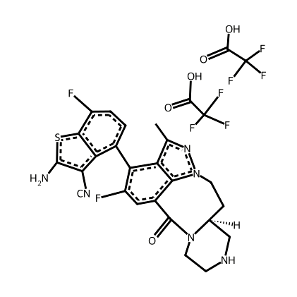 Cc1nn2c3c(cc(F)c(-c4ccc(F)c5sc(N)c(C#N)c45)c13)C(=O)N1CCNC[C@@H]1CC2.O=C(O)C(F)(F)F.O=C(O)C(F)(F)F